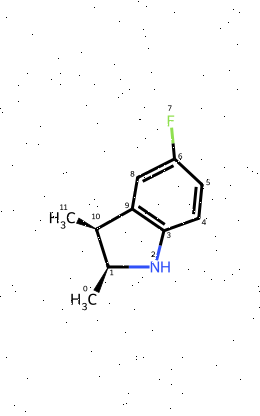 C[C@@H]1Nc2ccc(F)cc2[C@@H]1C